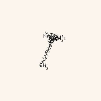 CCCCCCCCCCCCCCCCCC(=O)SCC(=O)N(CC(=O)O)c1c(C)ccc(C)c1C